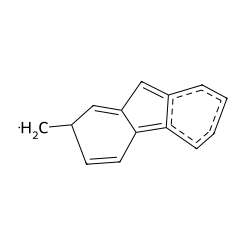 [CH2]C1C=CC2=c3ccccc3=CC2=C1